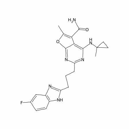 Cc1oc2nc(CCCc3nc4cc(F)ccc4[nH]3)nc(NC3(C)CC3)c2c1C(N)=O